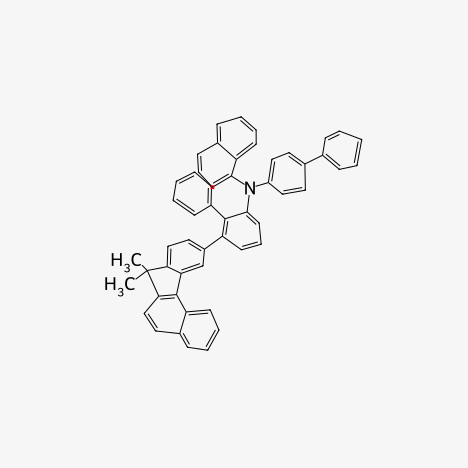 CC1(C)c2ccc(-c3cccc(N(c4ccc(-c5ccccc5)cc4)c4cccc5ccccc45)c3-c3ccccc3)cc2-c2c1ccc1ccccc21